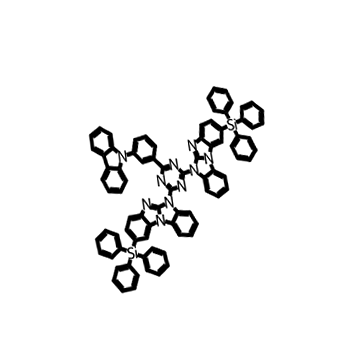 c1ccc([Si](c2ccccc2)(c2ccccc2)c2ccc3nc4n(-c5nc(-c6cccc(-n7c8ccccc8c8ccccc87)c6)nc(-n6c7ccccc7n7c8cc([Si](c9ccccc9)(c9ccccc9)c9ccccc9)ccc8nc67)n5)c5ccccc5n4c3c2)cc1